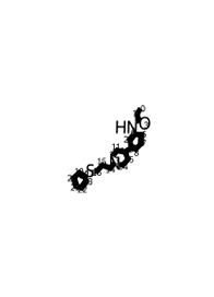 CCC(=O)Nc1cccc(C2CCN(CCCSc3ccccc3)CC2)c1